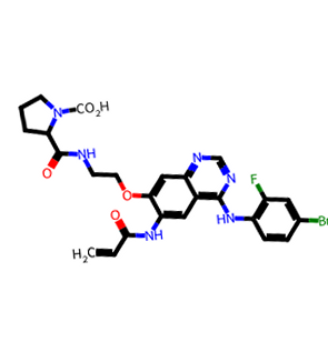 C=CC(=O)Nc1cc2c(Nc3ccc(Br)cc3F)ncnc2cc1OCCNC(=O)C1CCCN1C(=O)O